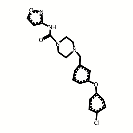 O=C(Nc1ccon1)N1CCN(Cc2cccc(Oc3ccc(Cl)cc3)c2)CC1